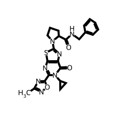 Cc1noc(-c2nc3sc(N4CCCC4C(=O)NCc4ccccc4)nc3c(=O)n2C2CC2)n1